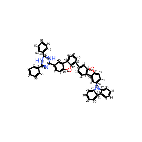 c1ccc(C2=NC(c3ccc4oc5c(-c6ccc7c(c6)oc6ccc(-n8c9ccccc9c9ccccc98)cc67)cccc5c4c3)NC(c3ccccc3)N2)cc1